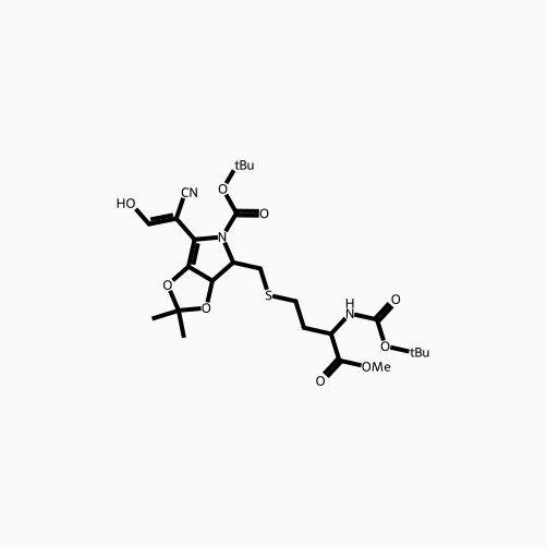 COC(=O)C(CCSCC1C2OC(C)(C)OC2=C(C(C#N)=CO)N1C(=O)OC(C)(C)C)NC(=O)OC(C)(C)C